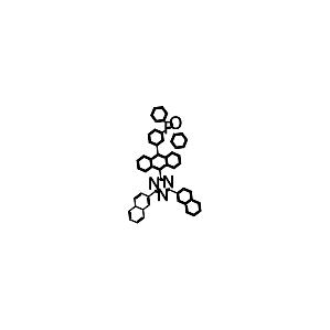 O=P(c1ccccc1)(c1ccccc1)c1cccc(-c2c3ccccc3c(-c3nc(C4=CC5C=CC=CC5C=C4)nc(-c4ccc5ccccc5c4)n3)c3ccccc23)c1